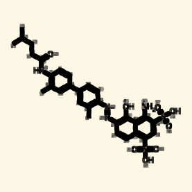 Cc1cc(-c2ccc(NC(=O)CCC(C)C)c(C)c2)ccc1N=Nc1ccc2c(S(=O)(=O)O)cc(S(=O)(=O)O)c(N)c2c1O